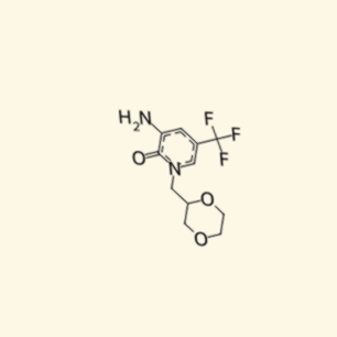 Nc1cc(C(F)(F)F)cn(CC2COCCO2)c1=O